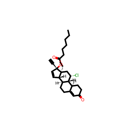 C#C[C@]1(OC(=O)CCCCCC)C=C[C@H]2[C@@H]3CCC4=CC(=O)CC[C@@H]4[C@H]3[C@@H](Cl)C[C@@]21CC